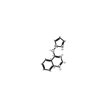 c1ccc2c(On3cccn3)ncnc2c1